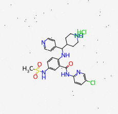 CS(=O)(=O)Nc1ccc(NC(c2ccncc2)C2CCNCC2)c(C(=O)Nc2ccc(Cl)cn2)c1.Cl.Cl